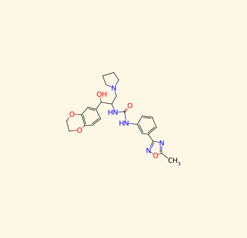 Cc1nc(-c2cccc(NC(=O)NC(CN3CCCC3)C(O)c3ccc4c(c3)OCCO4)c2)no1